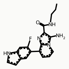 CCCNC(=O)c1nc2c(-c3cc4cc[nH]c4cc3F)cccn2c1N